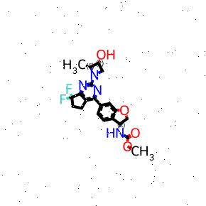 COC(=O)N[C@H]1COc2cc(-c3nc(N4C[C@@H](O)[C@@H]4C)nc4c3CCC4(F)F)ccc21